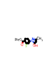 COC(=O)c1ccc(-n2nc(C)cc2O)cc1F